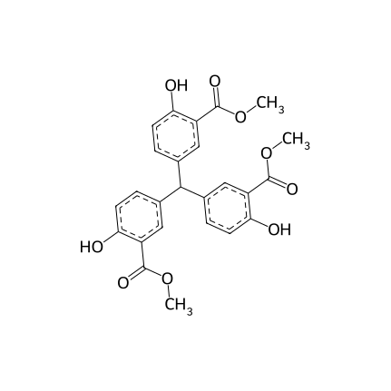 COC(=O)c1cc(C(c2ccc(O)c(C(=O)OC)c2)c2ccc(O)c(C(=O)OC)c2)ccc1O